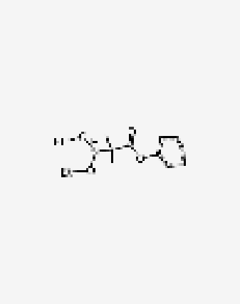 CCO[SiH](OCC)C(C)(C)C(=O)Oc1ccccc1